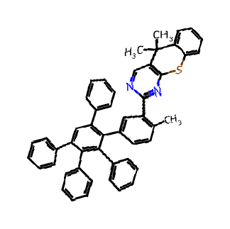 Cc1ccc(-c2c(-c3ccccc3)cc(-c3ccccc3)c(-c3ccccc3)c2-c2ccccc2)cc1-c1ncc2c(n1)Sc1ccccc1C2(C)C